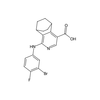 O=C(O)c1cnc(Nc2ccc(F)c(Br)c2)c2c1C1CCC2CC1